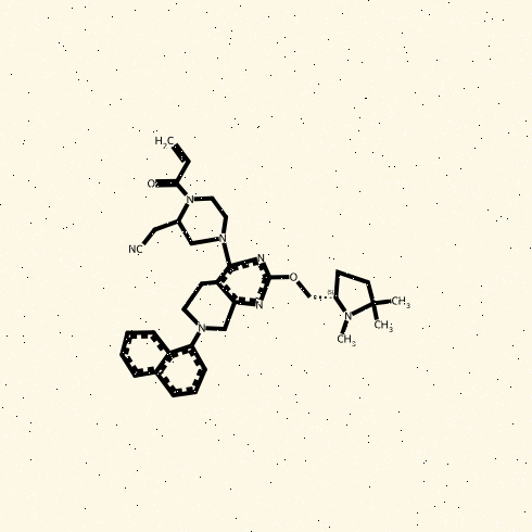 C=CC(=O)N1CCN(c2nc(OC[C@@H]3CCC(C)(C)N3C)nc3c2CCN(c2cccc4ccccc24)C3)CC1CC#N